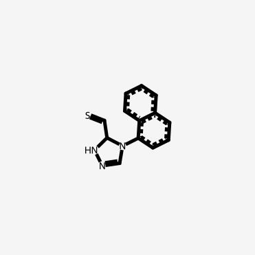 S=CC1NN=CN1c1cccc2ccccc12